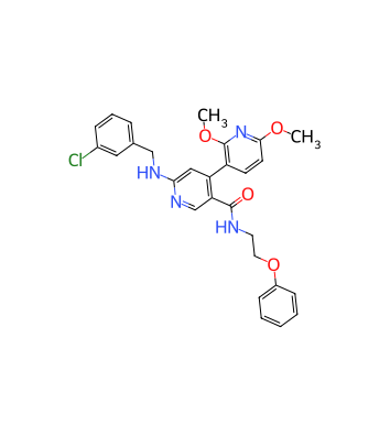 COc1ccc(-c2cc(NCc3cccc(Cl)c3)ncc2C(=O)NCCOc2ccccc2)c(OC)n1